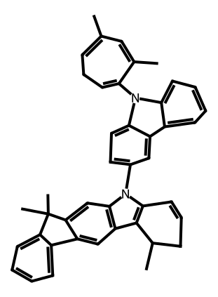 CC1=CCC=C(n2c3ccccc3c3cc(-n4c5c(c6cc7c(cc64)C(C)(C)c4ccccc4-7)C(C)CC=C5)ccc32)C(C)=C1